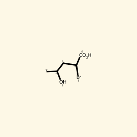 CC(O)CC(Br)C(=O)O